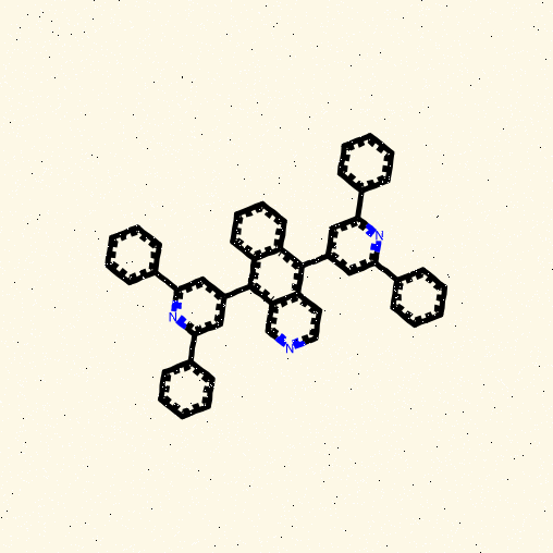 c1ccc(-c2cc(-c3c4ccccc4c(-c4cc(-c5ccccc5)nc(-c5ccccc5)c4)c4cnccc34)cc(-c3ccccc3)n2)cc1